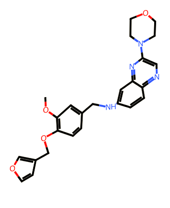 COc1cc(CNc2ccc3ncc(N4CCOCC4)nc3c2)ccc1OCc1ccoc1